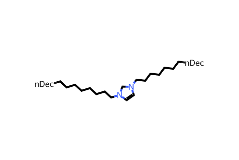 CCCCCCCCCCCCCCCCCCN1C=CN(CCCCCCCCCCCCCCCCC)C1